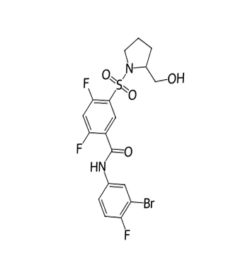 O=C(Nc1ccc(F)c(Br)c1)c1cc(S(=O)(=O)N2CCCC2CO)c(F)cc1F